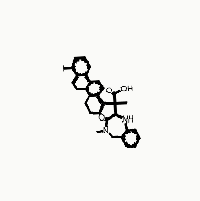 CN1Cc2ccccc2NC(C(C)(C(=O)O)C2=c3ccc4c(c3CCC2)CC=c2c(I)cccc2=4)C1=O